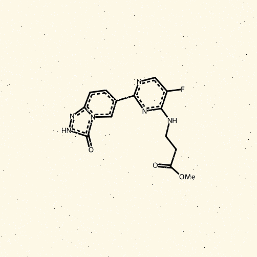 COC(=O)CCNc1nc(-c2ccc3n[nH]c(=O)n3c2)ncc1F